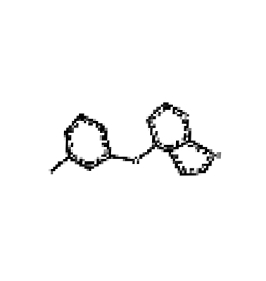 Fc1cccc(Oc2ccnc3[nH]ccc23)c1